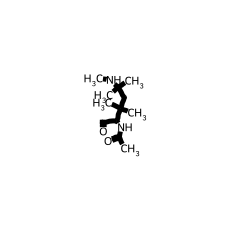 CNC(C)(C)CC(C)(C)C(C=O)NC(C)=O